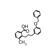 Cc1cccc(C(=O)O)c1CCCc1cccc(OCc2ccccc2)c1